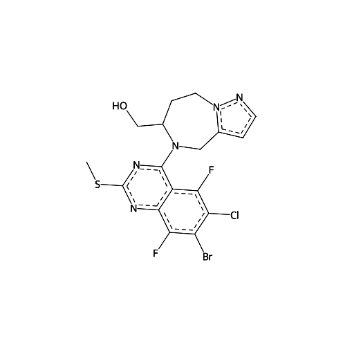 CSc1nc(N2Cc3ccnn3CCC2CO)c2c(F)c(Cl)c(Br)c(F)c2n1